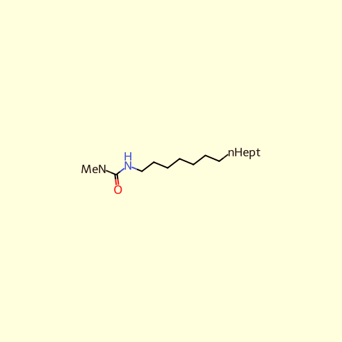 CCCCCCCCCCCCCCNC(=O)NC